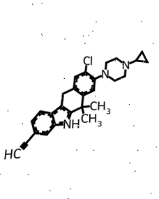 C#Cc1ccc2c3c([nH]c2c1)C(C)(C)c1cc(N2CCN(C4CC4)CC2)c(Cl)cc1C3